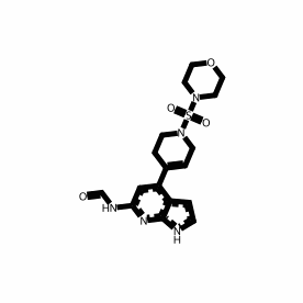 O=CNc1cc(C2=CCN(S(=O)(=O)N3CCOCC3)CC2)c2cc[nH]c2n1